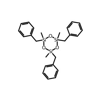 C[Si]1(Cc2ccccc2)O[Si](C)(Cc2ccccc2)O[Si](C)(Cc2ccccc2)O1